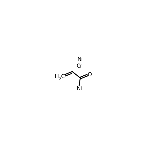 C=C[C](=O)[Ni].[Cr].[Ni]